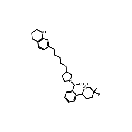 O=C(O)[C@@H](c1ccccc1C1CCC(F)(F)CO1)N1CC[C@@H](OCCCCc2ccc3c(n2)NCCC3)C1